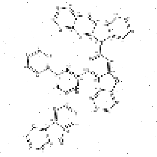 c1ccc(-c2nc(-c3ccc4oc5ccccc5c4c3)nc(-c3cc(-n4c5ccccc5c5cc6ccccc6cc54)cc4oc5ccccc5c34)n2)cc1